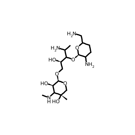 CNC1[C@@H](O)[C@@H](OC[C@@H](O)C(O[C@H]2OC(CN)CCC2N)C(C)N)OC[C@]1(C)O